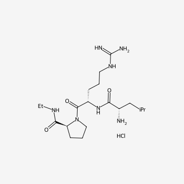 CCNC(=O)[C@@H]1CCCN1C(=O)[C@H](CCCNC(=N)N)NC(=O)[C@@H](N)CC(C)C.Cl